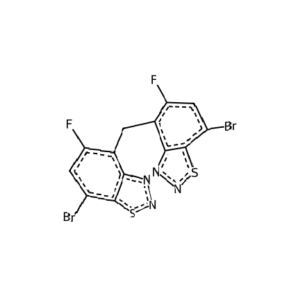 Fc1cc(Br)c2snnc2c1Cc1c(F)cc(Br)c2snnc12